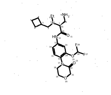 CCN(CC1CCC1)[C@@H](CN)C(=O)Nc1ccc(N2CCOCC2=O)c(OC(F)F)c1